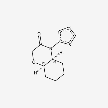 O=C1CO[C@@H]2CCCC[C@@H]2N1c1cccs1